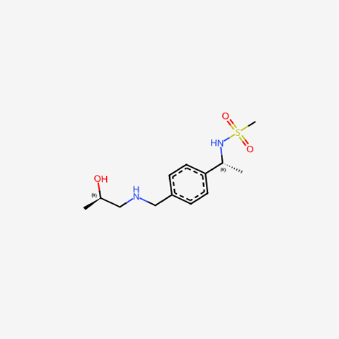 C[C@@H](O)CNCc1ccc([C@@H](C)NS(C)(=O)=O)cc1